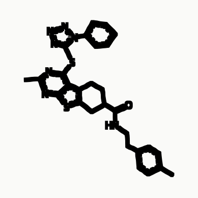 Cc1ccc(CCNC(=O)C2CCc3c(sc4nc(C)nc(Sc5nnnn5-c5ccccc5)c34)C2)cc1